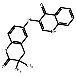 CC1(C)Cc2cc(Nc3c[nH]c4ccccc4c3=O)ccc2NC1=O